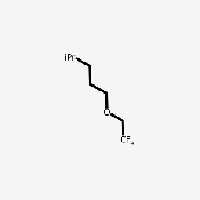 CC(C)CCCOCC(F)(F)F